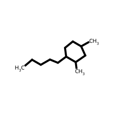 C[CH]CCCC1CCC(C)CC1C